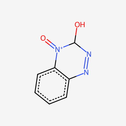 O=[N+]1c2ccccc2N=NC1O